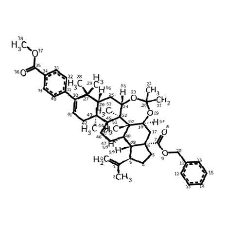 C=C(C)[C@@H]1CC[C@]2(C(=O)OCc3ccccc3)C[C@@H]3OC(C)(C)O[C@H]4C[C@H]5C(C)(C)C(c6ccc(C(=O)OC)cc6)=CC[C@]5(C)[C@H]5CC[C@H]([C@@H]12)[C@]3(C)[C@]45C